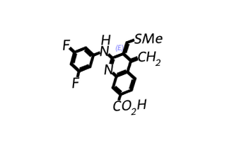 C=c1/c(=C\SC)c(Nc2cc(F)cc(F)c2)nc2cc(C(=O)O)ccc12